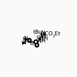 CCOC(=O)c1nc(NC(=O)N[C@H]2CC[C@@H](Oc3ccc4nnc(C5(C)CC5)n4c3)c3ccccc32)cc(C(C)(C)C)n1